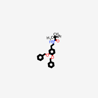 CC(C)C(C)(C)C(=O)NCCc1ccc(OCc2ccccc2)c(OCc2ccccc2)c1